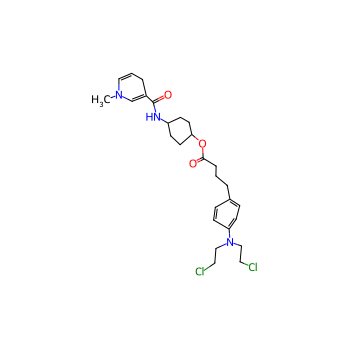 CN1C=CCC(C(=O)NC2CCC(OC(=O)CCCc3ccc(N(CCCl)CCCl)cc3)CC2)=C1